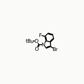 CC(C)(C)OC(=O)n1cc(Br)c2cccc(F)c21